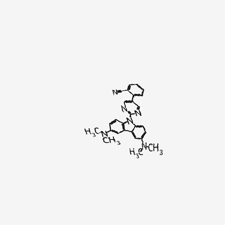 CN(C)c1ccc2c(c1)c1cc(N(C)C)ccc1n2-c1ncc(-c2ccccc2C#N)cn1